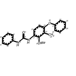 COc1c(NC(=O)Nc2ccccc2)ccc(Oc2ccccc2)c1C